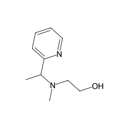 CC(c1ccccn1)N(C)CCO